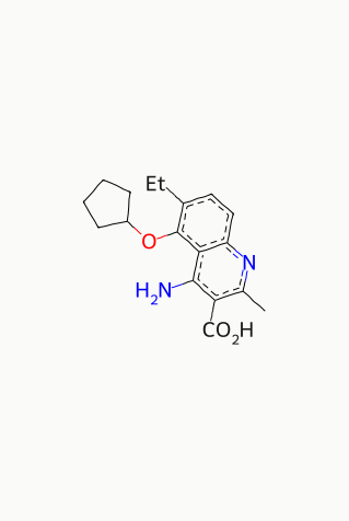 CCc1ccc2nc(C)c(C(=O)O)c(N)c2c1OC1CCCC1